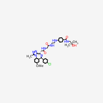 COc1ccc2c(c1)C(c1ccc(Cl)cc1)=N[C@@H](CC(=O)NCC(=O)NCCNc1ccc(C(=O)NC[Si](C)(C)O)cc1)c1nnc(C)n1-2